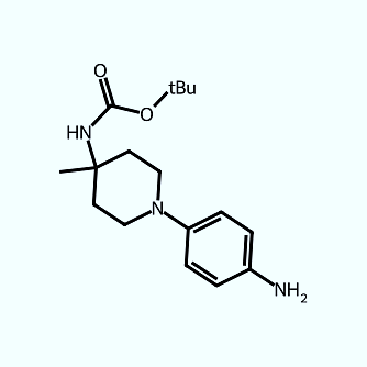 CC1(NC(=O)OC(C)(C)C)CCN(c2ccc(N)cc2)CC1